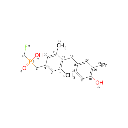 Cc1cc(CP(=O)(O)CF)cc(C)c1Cc1ccc(O)c(C(C)C)c1